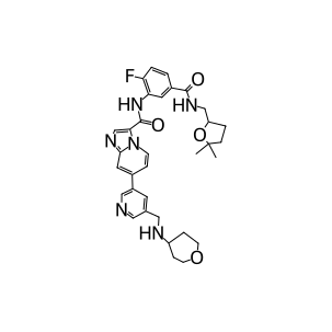 CC1(C)CCC(CNC(=O)c2ccc(F)c(NC(=O)c3cnc4cc(-c5cncc(CNC6CCOCC6)c5)ccn34)c2)O1